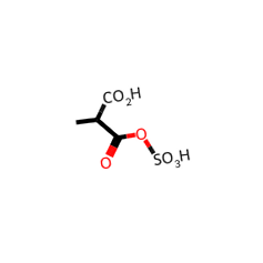 CC(C(=O)O)C(=O)OS(=O)(=O)O